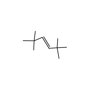 CC(C)(C)C=CC(C)(C)C